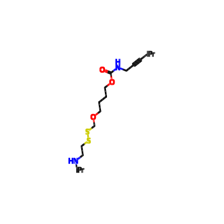 CC(C)C#CCNC(=O)OCCCCOCSSCCNC(C)C